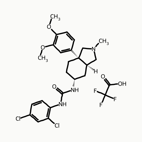 COc1ccc([C@@]23CC[C@@H](NC(=O)Nc4ccc(Cl)cc4Cl)C[C@@H]2CN(C)C3)cc1OC.O=C(O)C(F)(F)F